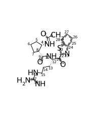 CC(=O)N[C@H]1CCC[C@H]1C(=O)N[C@@H](CCCNC(=N)N)C(=O)c1nc2ccccc2s1